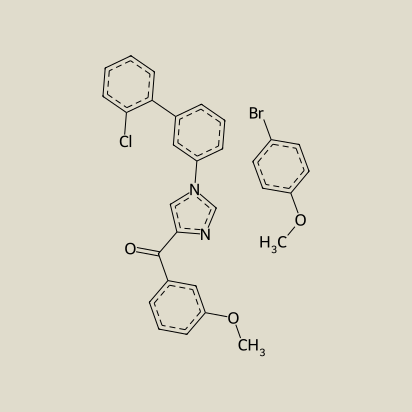 COc1ccc(Br)cc1.COc1cccc(C(=O)c2cn(-c3cccc(-c4ccccc4Cl)c3)cn2)c1